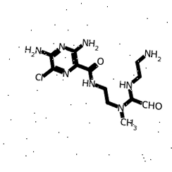 CN(CCNC(=O)c1nc(Cl)c(N)nc1N)C(C=O)NCCN